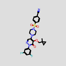 CC1(COc2c(N3CCN(S(=O)(=O)c4ccc(C#N)cc4)CC3)cnn(-c3cc(F)cc(F)c3)c2=O)CC1